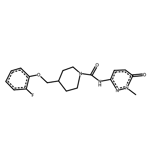 Cn1nc(NC(=O)N2CCC(COc3ccccc3F)CC2)ccc1=O